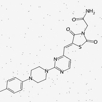 Cc1ccc(N2CCN(c3nccc(/C=C4\SC(=O)N(CC(N)=O)C4=O)n3)CC2)cc1